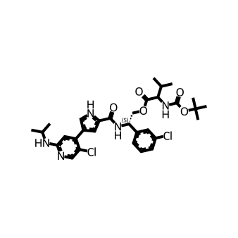 CC(C)Nc1cc(-c2c[nH]c(C(=O)N[C@H](COC(=O)C(NC(=O)OC(C)(C)C)C(C)C)c3cccc(Cl)c3)c2)c(Cl)cn1